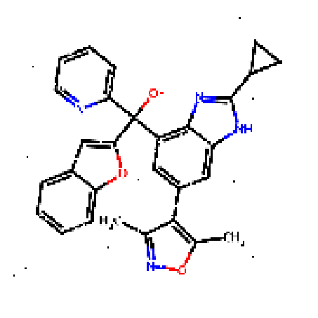 Cc1noc(C)c1-c1cc(C(O)(c2ccccn2)c2cc3ccccc3o2)c2nc(C3CC3)[nH]c2c1